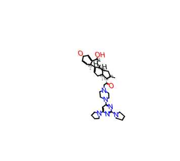 C[C@@H]1C[C@H]2[C@@H]3C[C@H](O)C4=CC(=O)C=C[C@]4(C)C3=CC[C@]2(C)[C@H]1C(=O)CN1CCN(c2cc(N3CCCC3)nc(N3CCCC3)n2)CC1